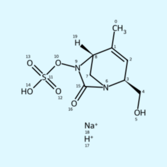 CC1=C[C@@H](CO)N2C[C@@H]1N(OS(=O)(=O)O)C2=O.[H+].[Na+]